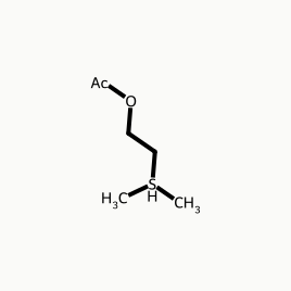 CC(=O)OCC[SH](C)C